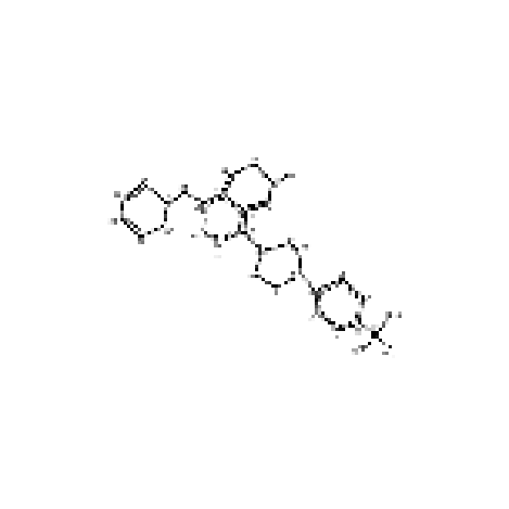 CC1C=c2c(N3CCN(c4ccc(C(F)(F)F)cc4)CC3)nnc(CC3C=CC=CC3)c2=CC1